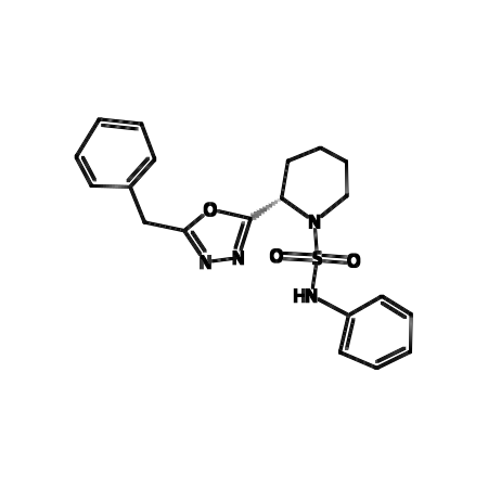 O=S(=O)(Nc1ccccc1)N1CCCC[C@H]1c1nnc(Cc2ccccc2)o1